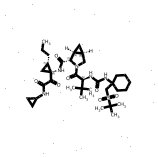 CCC[C@H]1C[C@]1(NC(=O)[C@@H]1[C@H]2C[C@H]2CN1C(=O)[C@@H](NC(=O)NC1(CS(=O)(=O)C(C)(C)C)CCCCC1)C(C)(C)C)C(=O)C(=O)NC1CC1